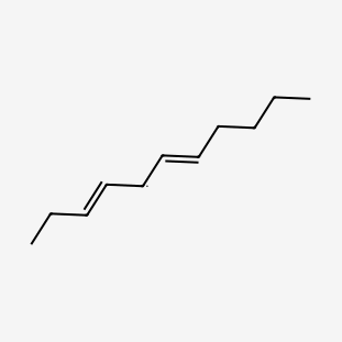 CCC=C[CH]C=CCCCC